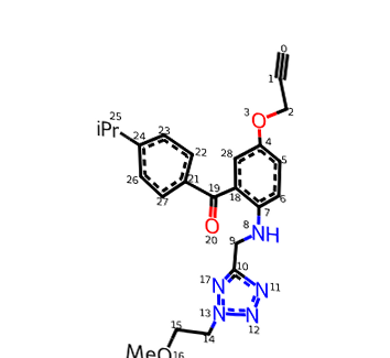 C#CCOc1ccc(NCc2nnn(CCOC)n2)c(C(=O)c2ccc(C(C)C)cc2)c1